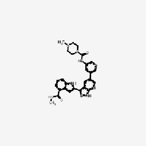 CNC(=O)c1cccc2[nH]c(-c3n[nH]c4ncc(-c5cncc(NC(=O)N6CCN(C)CC6)c5)cc34)cc12